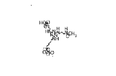 CC(=O)NCCCNc1nc(NCCCCCC(=O)ON2C(=O)CCC2=O)nc(NCCCS(=O)(=O)O)n1